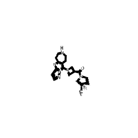 O=C(C1CN(c2c3c(nc4ccnn24)CCNCC3)C1)N1CC[C@@H](F)C1